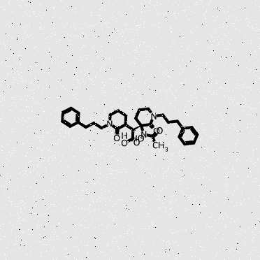 CC(=O)N(O)[C@]1(C(C(=O)O)C2CCCN(CCCc3ccccc3)C2=O)CCCN(CCCc2ccccc2)C1=O